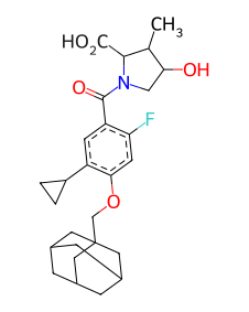 CC1C(O)CN(C(=O)c2cc(C3CC3)c(OCC34CC5CC(CC(C5)C3)C4)cc2F)C1C(=O)O